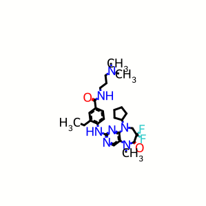 CCc1cc(C(=O)NCCCN(C)C)ccc1Nc1ncc2c(n1)N(C1CCCC1)CC(F)(F)C(=O)N2C